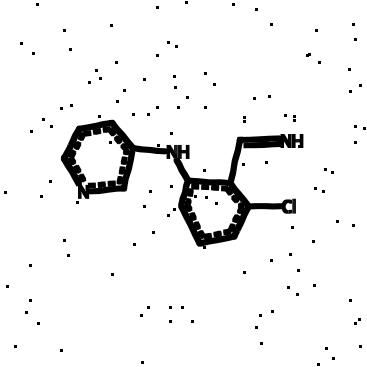 N=Cc1c(Cl)cccc1Nc1cccnc1